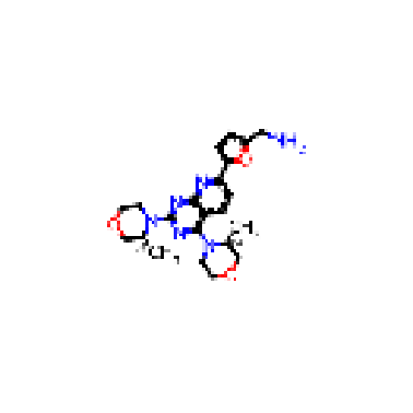 C[C@H]1COCCN1c1nc(N2CCOC[C@@H]2C)c2ccc(-c3ccc(CN)o3)nc2n1